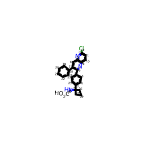 O=C(O)NC1(c2ccc(-c3nc4ccc(Cl)nc4cc3-c3ccccc3)cc2)CCC1